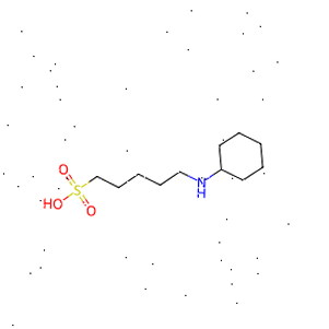 O=S(=O)(O)CCCCCNC1CCCCC1